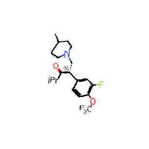 CC1CCN(C[C@@H](C(=O)C(C)C)c2ccc(OC(F)(F)F)c(F)c2)CC1